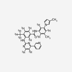 [2H]c1nc(Nc2c([2H])c(C(=O)Nc3c([2H])c(C)c([2H])c(-n4ccc(C)c4)c3[2H])c([2H])c([2H])c2C([2H])([2H])[2H])nc(-c2cccnc2)c1[2H]